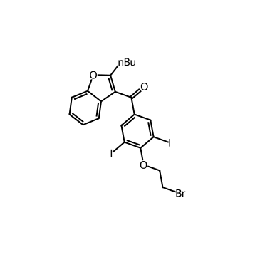 CCCCc1oc2ccccc2c1C(=O)c1cc(I)c(OCCBr)c(I)c1